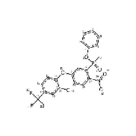 CP(=O)(Oc1ccccc1)c1cc(Oc2ccc(C(F)(F)F)cc2Cl)ccc1[N+](=O)[O-]